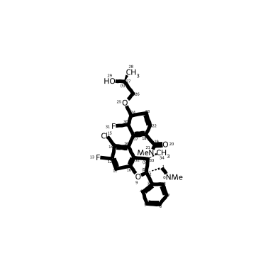 CNC[C@]1(c2ccccc2)Oc2cc(F)c(Cl)c(C3=C(C(=O)NC)C=CC(OC[C@H](C)O)C3F)c2[C@@H]1C